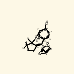 C1=C2N=C2[SH]1.CC1(C)CCC(=Cc2ccc(Cl)cc2)C1(C)O